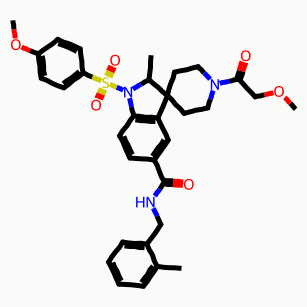 COCC(=O)N1CCC2(CC1)c1cc(C(=O)NCc3ccccc3C)ccc1N(S(=O)(=O)c1ccc(OC)cc1)C2C